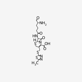 Cc1nnc(SCC2=C(C(=O)O)N3C(=O)C(NC(=O)CCCC(N)C=O)[C@@H]3SC2)s1